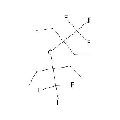 CCC(CC)(OC(CC)(CC)C(F)(F)F)C(F)(F)F